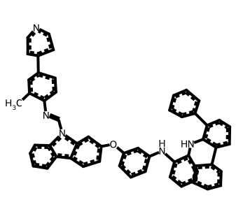 Cc1cc(-c2ccncc2)ccc1/N=C/n1c2ccccc2c2ccc(Oc3cccc(Nc4ccccc4Nc4c(-c5ccccc5)cccc4-c4ccccc4)c3)cc21